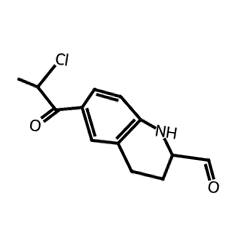 CC(Cl)C(=O)c1ccc2c(c1)CCC(C=O)N2